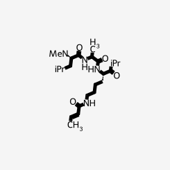 C/C=C/C(=O)NCCCC[C@H](NC(=O)C(C)NC(=O)[C@H](CC(C)C)NC)C(=O)C(C)C